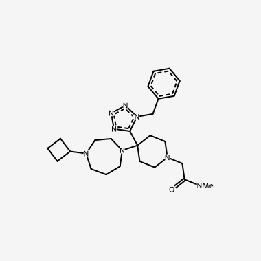 CNC(=O)CN1CCC(c2nnnn2Cc2ccccc2)(N2CCCN(C3CCC3)CC2)CC1